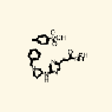 Cc1ccc(S(=O)(=O)O)cc1.O=C(C=Cc1cnc(N[C@@H]2CCN(Cc3ccccc3)C2)cn1)NO